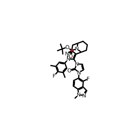 Cc1cc(-n2nc3c(c2-n2ccn(-c4ccc5c(cnn5C)c4F)c2=O)C2CCCC(C3)N2C(=O)OC(C)(C)C)cc(C)c1F